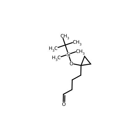 CC(C)(C)[Si](C)(C)OC1(CCCC=O)CC1